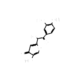 O=C(c1ccc(O)c(O)c1)C(O)c1cc(=O)c(O)co1